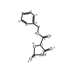 O=C1NC(=O)C(C(=O)OCc2ccccc2)O1